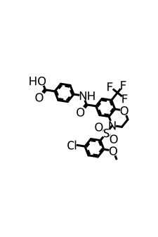 COc1ccc(Cl)cc1S(=O)(=O)N1CCOc2c1cc(C(=O)Nc1ccc(C(=O)O)cc1)cc2C(F)(F)F